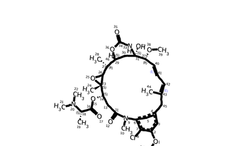 COc1cc2cc(c1Cl)N(C)C(=O)C[C@H](OC(=O)[C@H](C)N(C)C)[C@]1(C)OC1[C@H](C)[C@@H]1C[C@@](O)(NC(=O)O1)[C@H](OC)/C=C/C=C(\C)C2